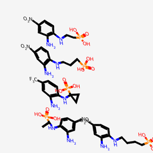 CC(Nc1ccc([N+](=O)[O-])cc1N)P(=O)(O)O.Nc1cc(C(F)(F)F)ccc1NC1(P(=O)(O)O)CC1.Nc1cc([N+](=O)[O-])ccc1NCCCCP(=O)(O)O.Nc1cc([N+](=O)[O-])ccc1NCCCP(=O)(O)O.Nc1cc([N+](=O)[O-])ccc1NCCP(=O)(O)O